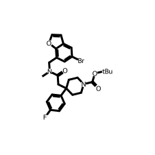 CN(Cc1cc(Br)cc2ccoc12)C(=O)CC1(c2ccc(F)cc2)CCN(C(=O)OC(C)(C)C)CC1